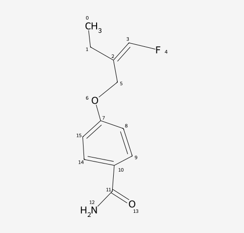 CC/C(=C/F)COc1ccc(C(N)=O)cc1